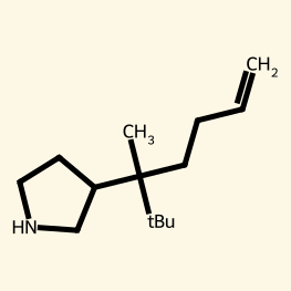 C=CCCC(C)(C1CCNC1)C(C)(C)C